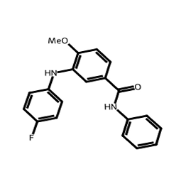 COc1ccc(C(=O)Nc2ccccc2)cc1Nc1ccc(F)cc1